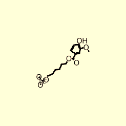 COc1cc(C(=O)OCCCCCCO[N+](=O)[O-])ccc1O